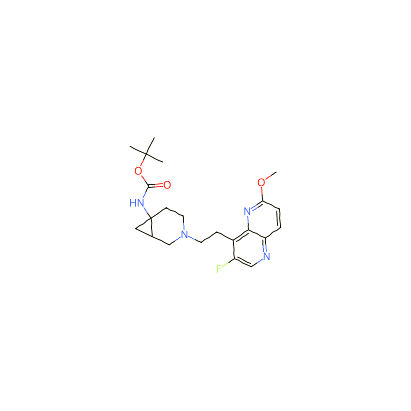 COc1ccc2ncc(F)c(CCN3CCC4(NC(=O)OC(C)(C)C)CC4C3)c2n1